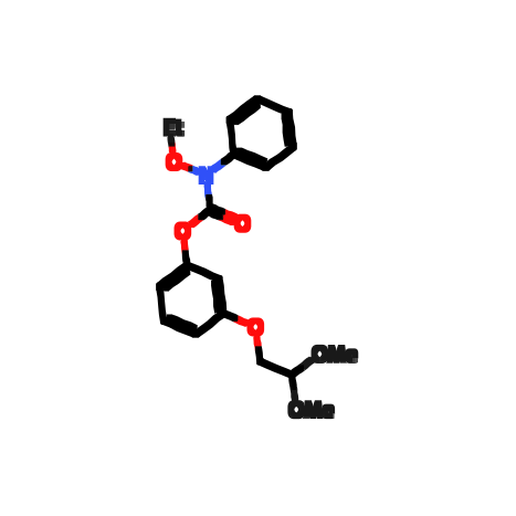 CCON(C(=O)Oc1cccc(OCC(OC)OC)c1)c1ccccc1